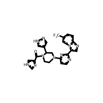 O=C(c1c[nH]cn1)N1CCN(c2ccnc(-c3cnc4ccc(C(F)(F)F)cn34)n2)CC1c1cn[nH]c1